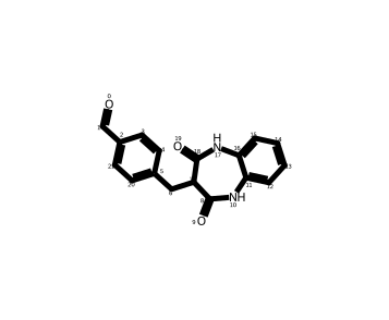 O=Cc1ccc(CC2C(=O)Nc3ccccc3NC2=O)cc1